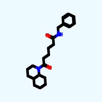 O=C(CCCCC(=O)N1CCCC2CCCCC21)NCc1ccccc1